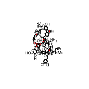 CN[C@H](CC(C)C)C(=O)N[C@H]1C(=O)N[C@@H](CC(N)=O)C(=O)N[C@H]2C(=O)N[C@H]3C(=O)N[C@H](C(=O)N[C@@H](C(=O)NN(C)C)c4cc(O)cc(O)c4-c4cc3ccc4O)[C@H](O)c3ccc(c(Cl)c3)Oc3cc2cc(c3O[C@@H]2O[C@H](CO)[C@@H](O)[C@H](O)[C@H]2O[C@H]2C[C@](C)(NCCN3CCC(NC(=O)Cc4ccc(Cl)c(Cl)c4)CC3)[C@H](O)[C@H](C)O2)Oc2ccc(cc2Cl)[C@H]1O